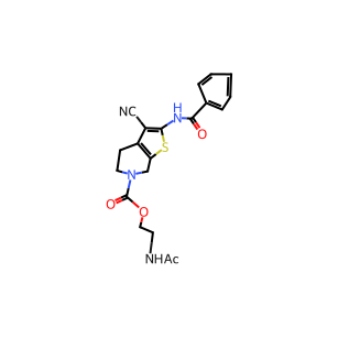 CC(=O)NCCOC(=O)N1CCc2c(sc(NC(=O)c3ccccc3)c2C#N)C1